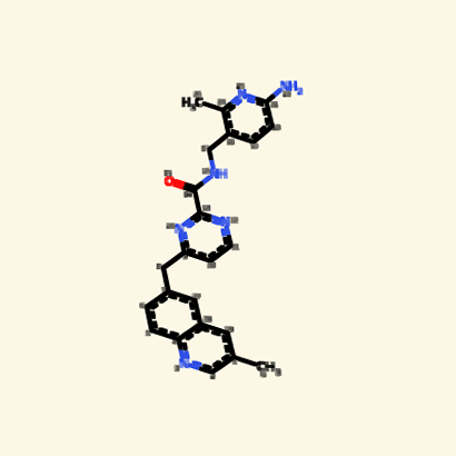 Cc1cnc2ccc(Cc3ccnc(C(=O)NCc4ccc(N)nc4C)n3)cc2c1